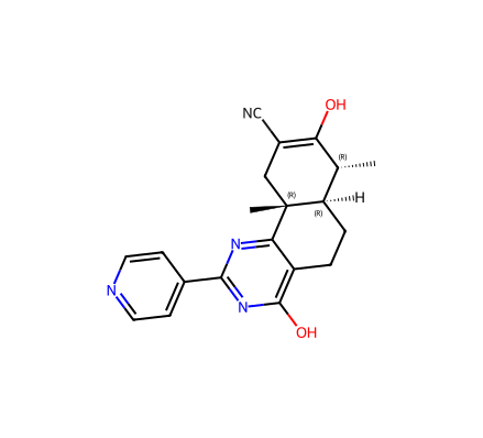 C[C@H]1C(O)=C(C#N)C[C@@]2(C)c3nc(-c4ccncc4)nc(O)c3CC[C@H]12